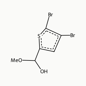 COC(O)c1cc(Br)c(Br)s1